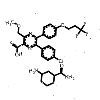 COCc1nc(-c2ccc(OCCC(F)(F)F)cc2)c(-c2ccc(Cl)cc2)nc1C(O)=S.NC(=O)C1CCCC(N)C1